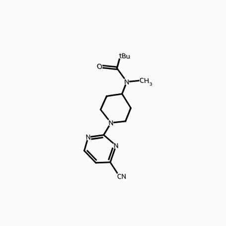 CN(C(=O)C(C)(C)C)C1CCN(c2nccc(C#N)n2)CC1